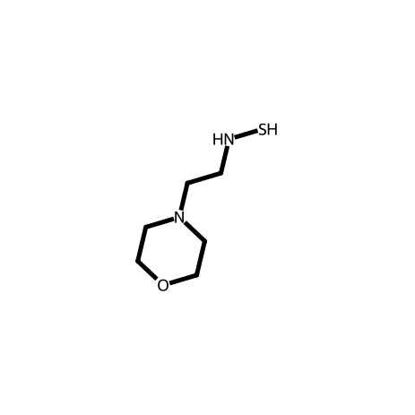 SNCCN1CCOCC1